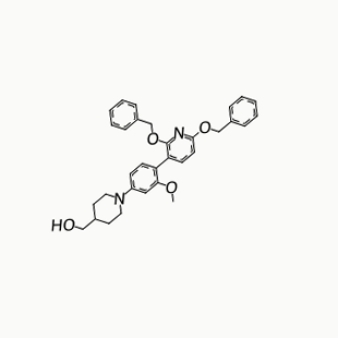 COc1cc(N2CCC(CO)CC2)ccc1-c1ccc(OCc2ccccc2)nc1OCc1ccccc1